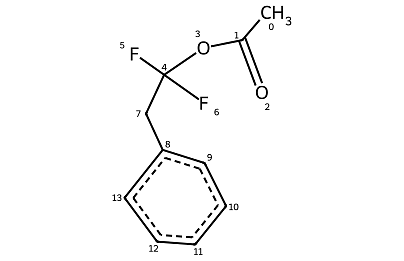 CC(=O)OC(F)(F)Cc1ccccc1